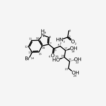 CC(=O)N[C@@H](C(=O)c1c[nH]c2ccc(Br)cc12)[C@@H](O)[C@H](O)[C@H](O)CO